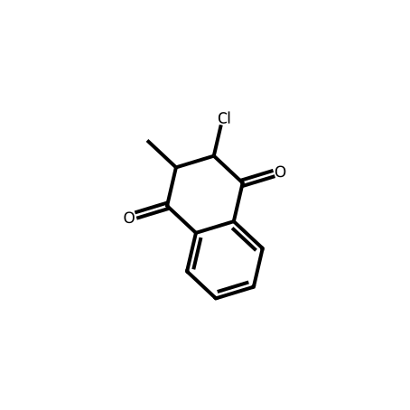 CC1C(=O)c2ccccc2C(=O)C1Cl